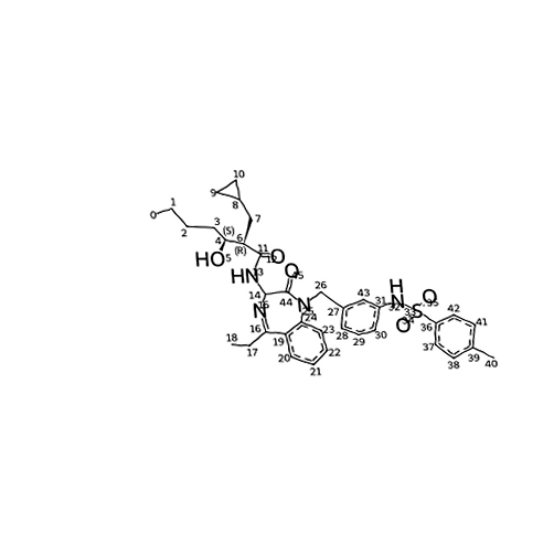 CCCC[C@H](O)[C@@H](CC1CC1)C(=O)NC1N=C(CC)c2ccccc2N(Cc2cccc(NS(=O)(=O)c3ccc(C)cc3)c2)C1=O